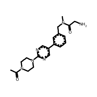 CC(=O)N1CCN(c2ncc(-c3cccc(CN(C)C(=O)CN)c3)cn2)CC1